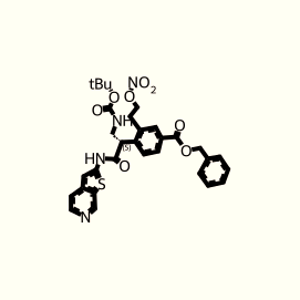 CC(C)(C)OC(=O)NC[C@@H](C(=O)Nc1cc2ccncc2s1)c1ccc(C(=O)OCc2ccccc2)cc1CCO[N+](=O)[O-]